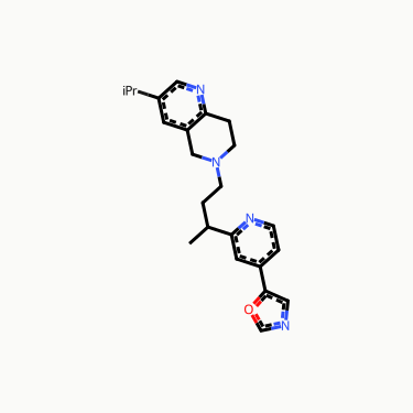 CC(C)c1cnc2c(c1)CN(CCC(C)c1cc(-c3cnco3)ccn1)CC2